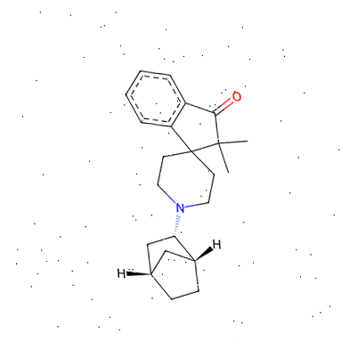 CC1(C)C(=O)c2ccccc2C12CCN([C@H]1C[C@H]3CC[C@@H]1C3)CC2